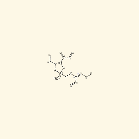 C=CC(=C)OC[PH](O)(CCCC)CC/C(C=C)=C/CC